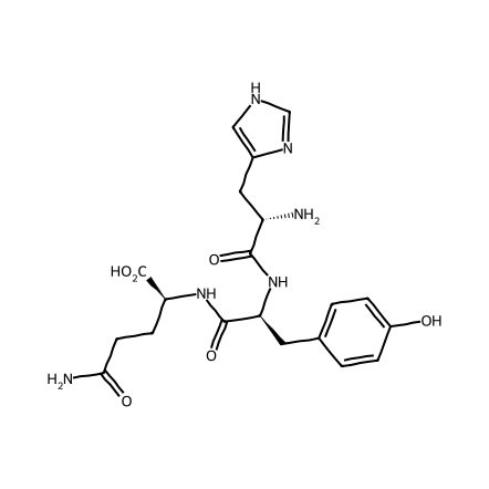 NC(=O)CC[C@H](NC(=O)[C@H](Cc1ccc(O)cc1)NC(=O)[C@@H](N)Cc1c[nH]cn1)C(=O)O